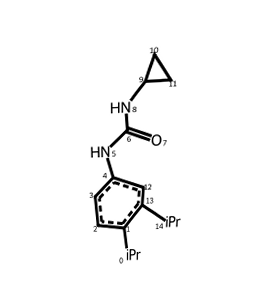 CC(C)c1ccc(NC(=O)NC2CC2)cc1C(C)C